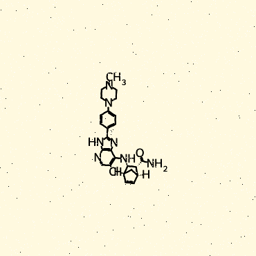 CN1CCN(c2ccc(-c3nc4c(N[C@@H]5[C@H](C(N)=O)[C@H]6C=C[C@@H]5C6)c(Cl)cnc4[nH]3)cc2)CC1